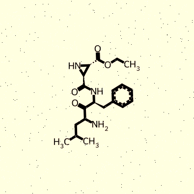 CCOC(=O)[C@H]1N[C@@H]1C(=O)N[C@@H](Cc1ccccc1)C(=O)C(N)CC(C)C